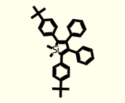 CC(C)(C)c1ccc(C2=C(c3ccccc3)C(c3ccccc3)=C(c3ccc(C(C)(C)C)cc3)[Si]2(C)C)cc1